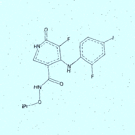 CC(C)ONC(=O)c1c[nH]c(=O)c(F)c1Nc1ccc(I)cc1F